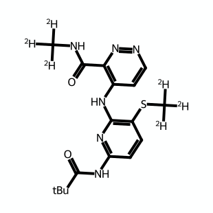 [2H]C([2H])([2H])NC(=O)c1nnccc1Nc1nc(NC(=O)C(C)(C)C)ccc1SC([2H])([2H])[2H]